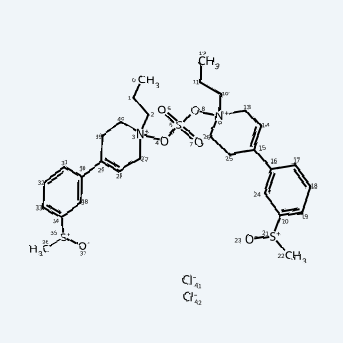 CCC[N+]1(OS(=O)(=O)O[N+]2(CCC)CC=C(c3cccc([S+](C)[O-])c3)CC2)CC=C(c2cccc([S+](C)[O-])c2)CC1.[Cl-].[Cl-]